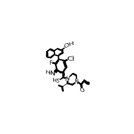 C=CC(=O)N1CCN(/C(S)=C2\C=C(Cl)C(c3cc(O)cc4ccccc34)=C(F)C2=N)[C@H](C(C)C)C1